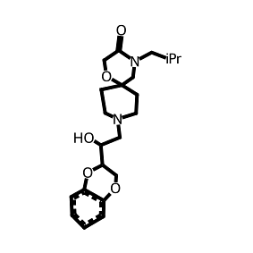 CC(C)CN1CC2(CCN(CC(O)C3COc4ccccc4O3)CC2)OCC1=O